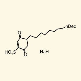 CCCCCCCCCCCCCCCCCCC1CC(=O)C(S(=O)(=O)O)=CC1=O.[NaH]